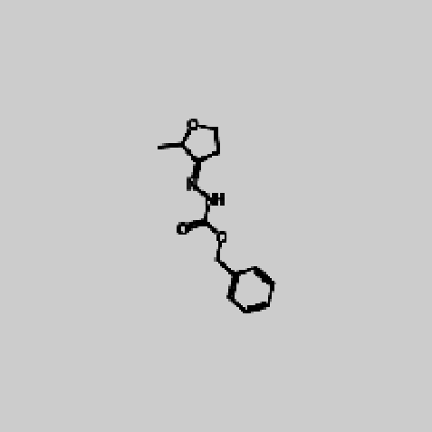 CC1OCC/C1=N\NC(=O)OCc1ccccc1